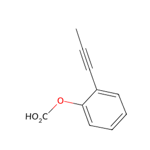 CC#Cc1ccccc1OC(=O)O